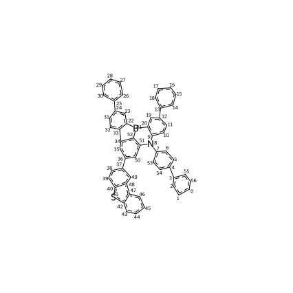 c1ccc(-c2ccc(N3c4ccc(-c5ccccc5)cc4B4c5cc(-c6ccccc6)ccc5-c5cc(-c6ccc7sc8ccccc8c7c6)cc3c54)cc2)cc1